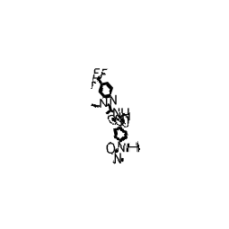 CCn1c(C(C)NS(=O)(=O)c2ccc(NC(=O)N(C)C)cc2)nc2ccc(C(F)(F)F)cc21